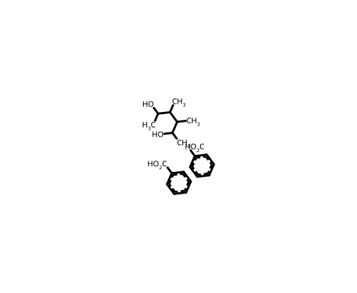 CC(O)C(C)C(C)C(C)O.O=C(O)c1ccccc1.O=C(O)c1ccccc1